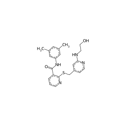 Cc1cc(C)cc(NC(=O)c2cccnc2SCc2ccnc(NCCO)c2)c1